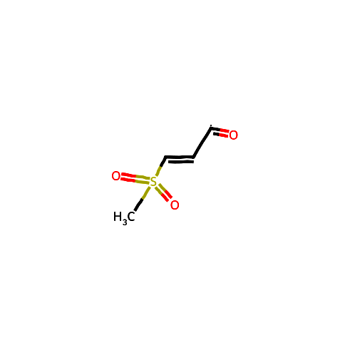 CS(=O)(=O)/C=C/[C]=O